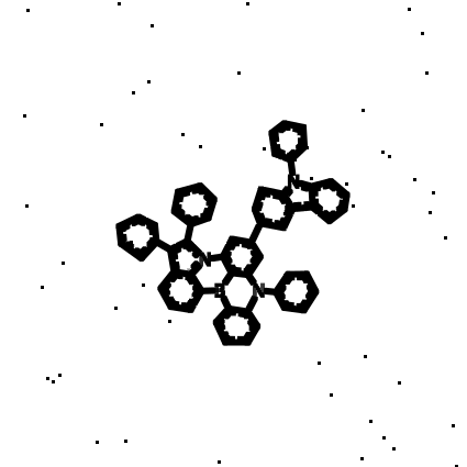 c1ccc(-c2c(-c3ccccc3)n3c4c(cccc24)B2c4ccccc4N(c4ccccc4)c4cc(-c5ccc6c(c5)c5ccccc5n6-c5ccccc5)cc-3c42)cc1